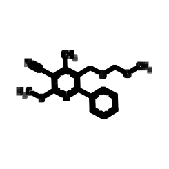 COCOCc1c(-c2ccccc2)nc(SC)c(C#N)c1C